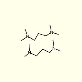 CN(C)CCCN(C)C.CN(C)CCCN(C)C